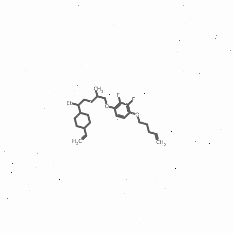 C=CCCCOc1ccc(OCC(C)CCC(CC)C2CCC(C=C)CC2)c(F)c1F